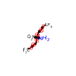 Nc1ccc(-c2ccc([N+](=O)[O-])cc2COC(=O)/C=C/c2ccc(OC(=O)c3ccc(OCCCC(F)(F)F)cc3)cc2)c(COC(=O)/C=C/c2ccc(OC(=O)c3ccc(OCCCC(F)(F)F)cc3)cc2)c1